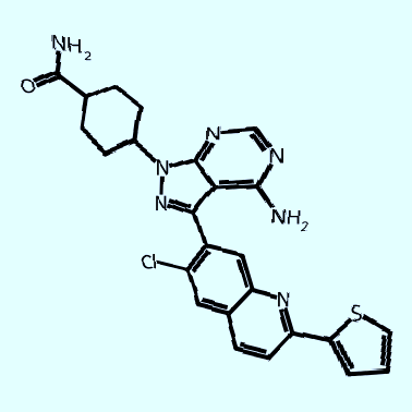 NC(=O)C1CCC(n2nc(-c3cc4nc(-c5cccs5)ccc4cc3Cl)c3c(N)ncnc32)CC1